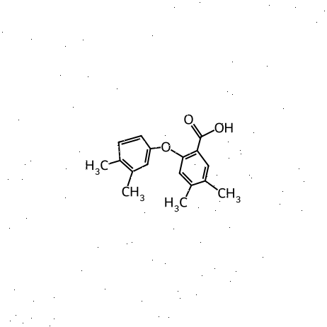 Cc1ccc(Oc2cc(C)c(C)cc2C(=O)O)cc1C